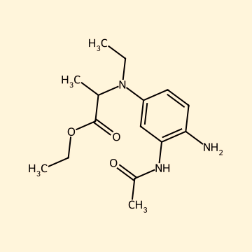 CCOC(=O)C(C)N(CC)c1ccc(N)c(NC(C)=O)c1